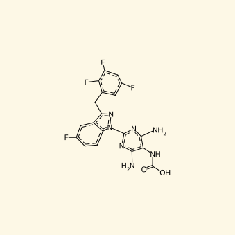 Nc1nc(-n2nc(Cc3cc(F)cc(F)c3F)c3cc(F)ccc32)nc(N)c1NC(=O)O